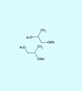 COC(C)COC(C)=O.COCC(C)OC(C)=O